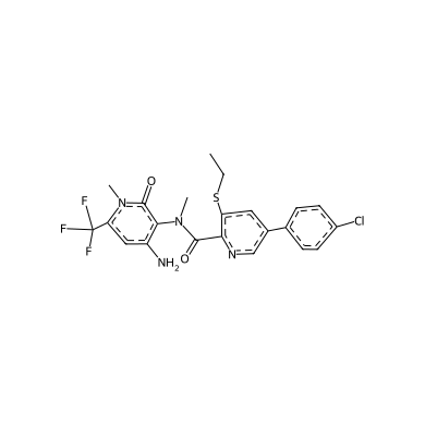 CCSc1cc(-c2ccc(Cl)cc2)cnc1C(=O)N(C)c1c(N)cc(C(F)(F)F)n(C)c1=O